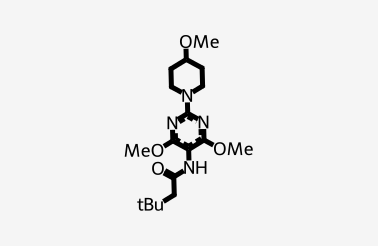 COc1nc(N2CCC(OC)CC2)nc(OC)c1NC(=O)CC(C)(C)C